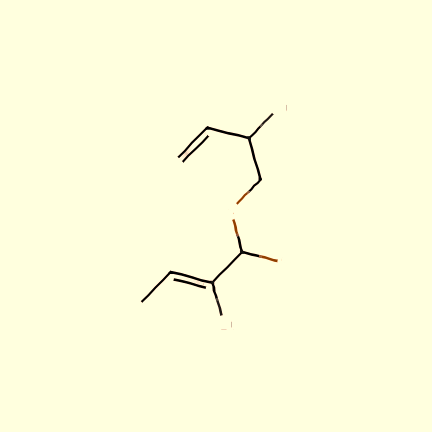 C=CC(CC)CSC([S])C(=CC)CC